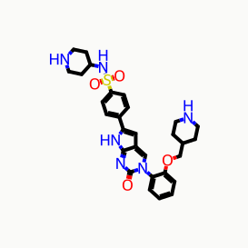 O=c1nc2[nH]c(-c3ccc(S(=O)(=O)NC4CCNCC4)cc3)cc2cn1-c1ccccc1OCC1CCNCC1